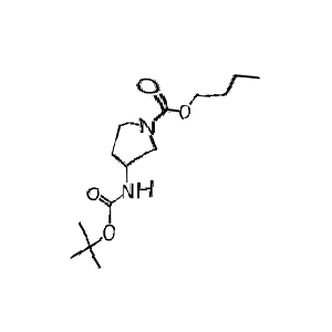 CCCCOC(=O)N1CCC(NC(=O)OC(C)(C)C)C1